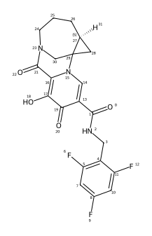 O=C(NCc1c(F)cc(F)cc1F)c1cn2c(c(O)c1=O)C(=O)N1CCC[C@H]3CC32C1